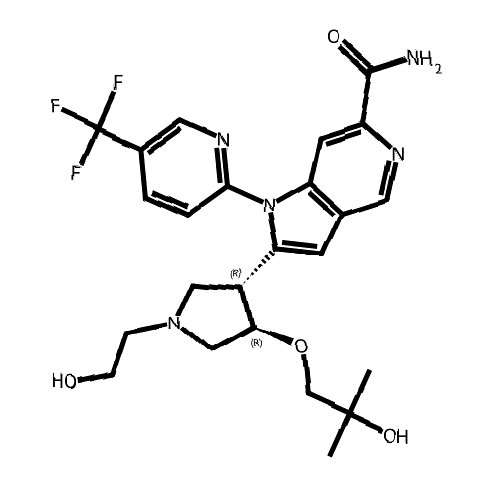 CC(C)(O)CO[C@H]1CN(CCO)C[C@@H]1c1cc2cnc(C(N)=O)cc2n1-c1ccc(C(F)(F)F)cn1